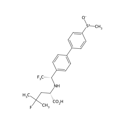 C[S+]([O-])c1ccc(-c2ccc([C@H](N[C@@H](CC(C)(C)F)C(=O)O)C(F)(F)F)cc2)cc1